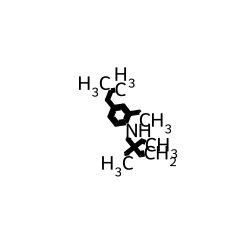 C=CC(CC)(CC)CNc1ccc(CC(C)C)cc1CC